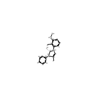 CC1=CN(c2cccc(OI)c2C)[C@@H](C)N1c1ccccc1